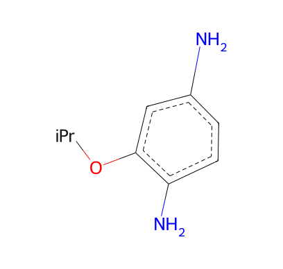 CC(C)Oc1cc(N)ccc1N